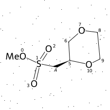 COS(=O)(=O)C[C@H]1COCCO1